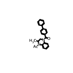 CC(=O)N1c2ccccc2N(C(=O)c2ccc(-c3ccccc3)cc2)CC1C